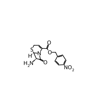 N[C@@H]1C(=O)N2C(C(=O)OCc3ccc([N+](=O)[O-])cc3)=CCS[C@H]12